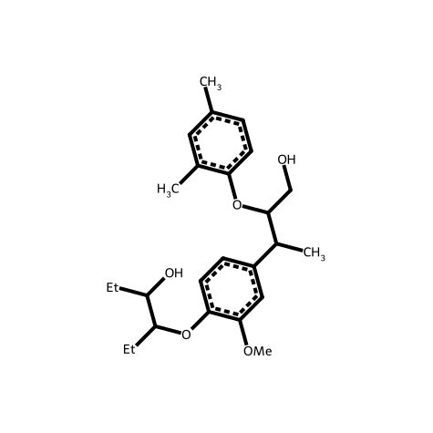 CCC(O)C(CC)Oc1ccc(C(C)C(CO)Oc2ccc(C)cc2C)cc1OC